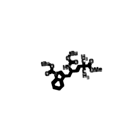 COC(=O)C(C)(C)/C=C/C(Cc1cn(C(=O)OC(C)(C)C)c2ccccc12)NC(=O)OC(C)(C)C